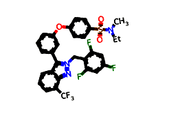 CCN(C)S(=O)(=O)c1ccc(Oc2cccc(-c3c4cccc(C(F)(F)F)c4nn3Cc3c(F)cc(F)cc3F)c2)cc1